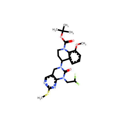 COc1cccc2c1N(C(=O)OC(C)(C)C)CCC2N1Cc2cnc(SC)nc2N(CC(F)F)C1=O